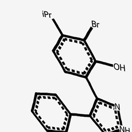 CC(C)c1ccc(-c2n[nH]cc2-c2ccccc2)c(O)c1Br